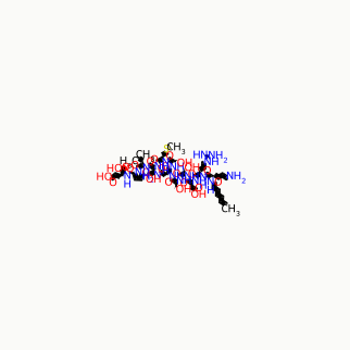 CCCCCCCC(=O)N[C@@H](CCCCN)C(=O)N[C@@H](CCCNC(=N)N)C(=O)N[C@@H](CC(=O)O)C(=O)N[C@@H](CO)C(=O)N[C@@H](CO)C(=O)N[C@@H](CC(N)=O)C(=O)N[C@@H](CO)C(=O)N[C@@H](CCSC)C(=O)N[C@@H](CC(=O)O)C(=O)N[C@@H](CC(C)C)C(=O)N1CCC[C@H]1C(=O)N[C@@H](CCC(=O)O)C(=O)O